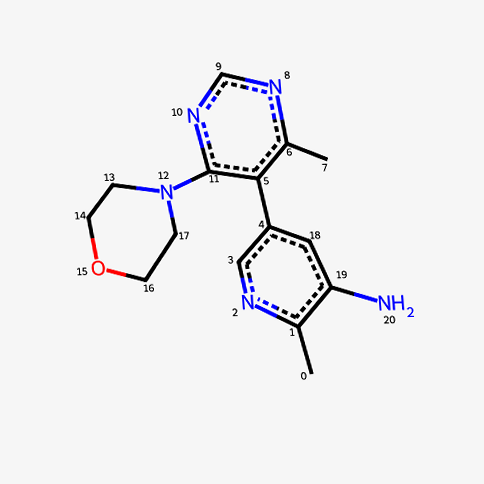 Cc1ncc(-c2c(C)ncnc2N2CCOCC2)cc1N